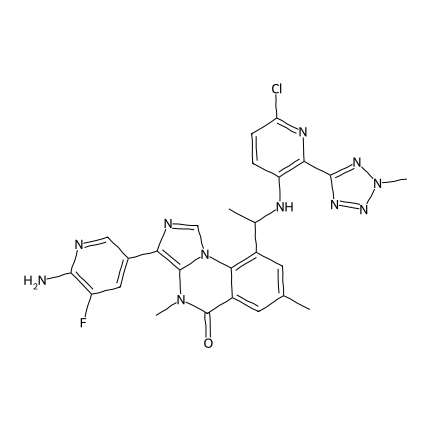 Cc1cc(C(C)Nc2ccc(Cl)nc2-c2nnn(C)n2)c2c(c1)c(=O)n(C)c1c(-c3cnc(N)c(F)c3)ncn21